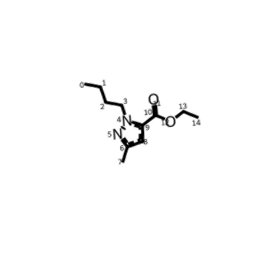 CCCCn1nc(C)cc1C(=O)OCC